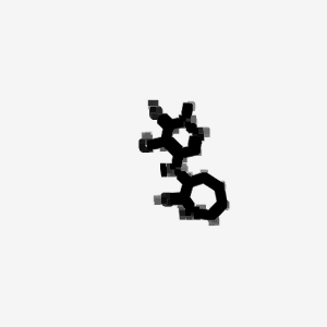 Cn1ncc(NC2CCCCNC2=O)c(Cl)c1=O